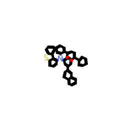 c1ccc(-c2ccc(-c3ccccc3N(c3cccc(-c4ccc5ccccc5c4)c3)c3cccc4sc5ccccc5c34)cc2)cc1